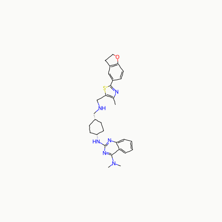 Cc1nc(-c2ccc3c(c2)CCO3)sc1CNC[C@H]1CC[C@@H](Nc2nc(N(C)C)c3ccccc3n2)CC1